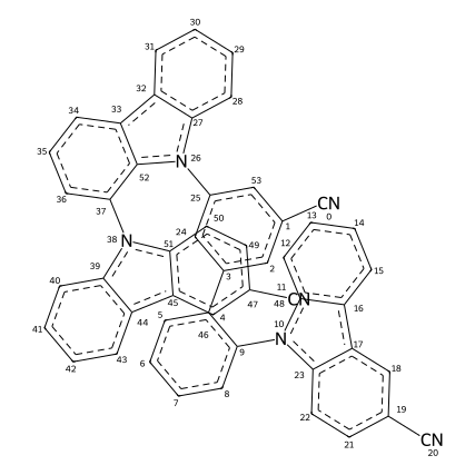 N#Cc1cc(-c2ccccc2-n2c3ccccc3c3cc(C#N)ccc32)cc(-n2c3ccccc3c3cccc(-n4c5ccccc5c5cc(C#N)ccc54)c32)c1